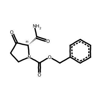 NC(=O)[C@H]1C(=O)CCN1C(=O)OCc1ccccc1